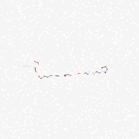 CCC(CO)OC(COC(=O)CCCC(=O)NCCNC(=O)CCOCCOCCNC(=O)CCN1C(=O)CC(SC(C)(C)C)C1=O)OC